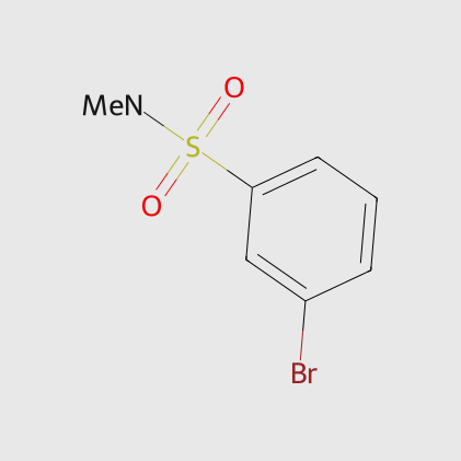 [CH2]NS(=O)(=O)c1cccc(Br)c1